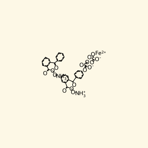 O=S(=O)([O-])[O-].O=S(=O)([O-])[O-].[Fe+2].[NH3+]OOC(=O)c1ccccc1C(=O)c1ccccc1.[NH3+]OOC(=O)c1ccccc1C(=O)c1ccccc1